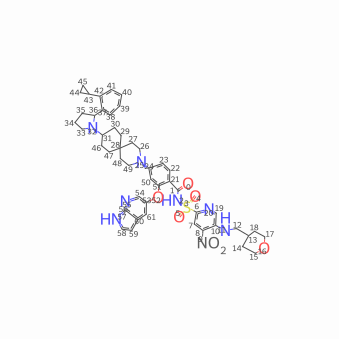 O=C(NS(=O)(=O)c1cc([N+](=O)[O-])c(NCC2CCOCC2)cn1)c1ccc(N2CCC3(CCC(N4CCCC4c4ccccc4C4CC4)CC3)CC2)cc1Oc1cnc2[nH]ccc2c1